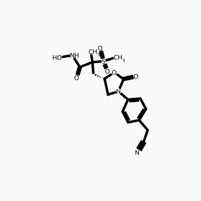 CC(C[C@H]1CN(c2ccc(CC#N)cc2)C(=O)O1)(C(=O)NO)S(C)(=O)=O